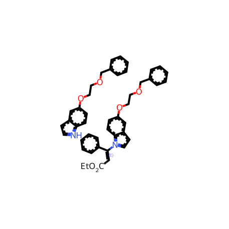 CCOC(=O)/C=C(\c1ccccc1)n1ccc2cc(OCCOCc3ccccc3)ccc21.c1ccc(COCCOc2ccc3[nH]ccc3c2)cc1